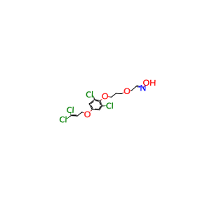 O/N=C/COCCCOc1c(Cl)cc(OCC=C(Cl)Cl)cc1Cl